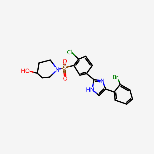 O=S(=O)(c1cc(-c2nc(-c3ccccc3Br)c[nH]2)ccc1Cl)N1CCC(O)CC1